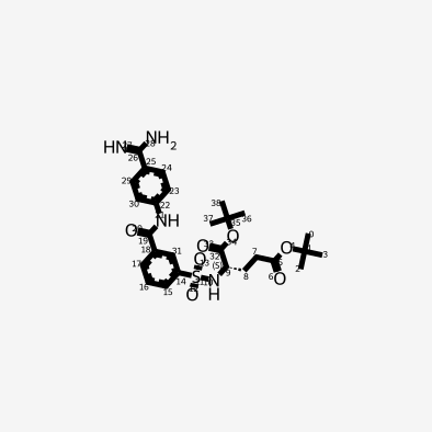 CC(C)(C)OC(=O)CC[C@H](NS(=O)(=O)c1cccc(C(=O)Nc2ccc(C(=N)N)cc2)c1)C(=O)OC(C)(C)C